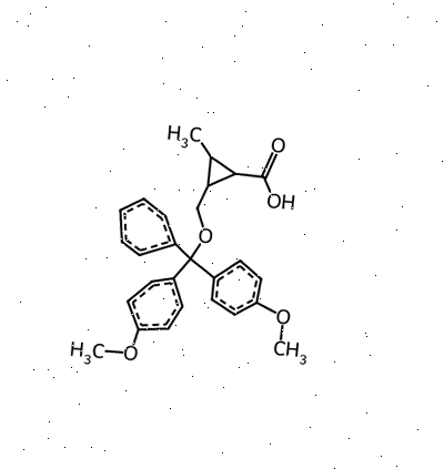 COc1ccc(C(OCC2C(C)C2C(=O)O)(c2ccccc2)c2ccc(OC)cc2)cc1